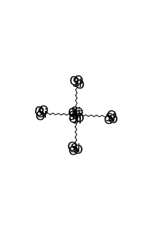 CO[Si](CCCCCCCCCC[Si]1(C)O[Si](C)(CCCCCCCCCC[Si](OC)(OC)OC)O[Si](C)(CCCCCCCCCC[Si](OC)(OC)OC)O[Si](C)(CCCCCCCCCC[Si](OC)(OC)OC)O1)(OC)OC